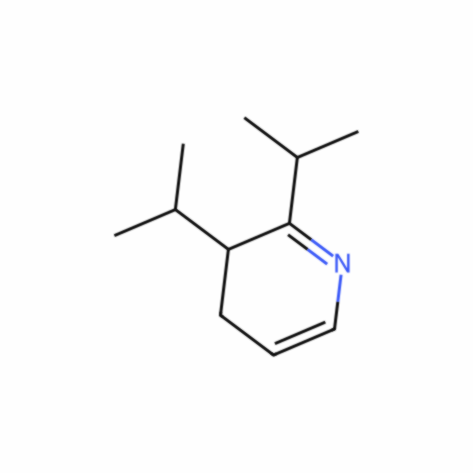 CC(C)C1=NC=CCC1C(C)C